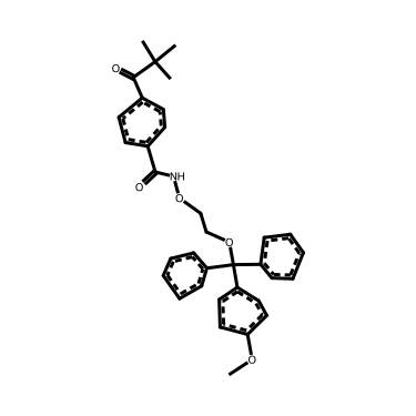 COc1ccc(C(OCCONC(=O)c2ccc(C(=O)C(C)(C)C)cc2)(c2ccccc2)c2ccccc2)cc1